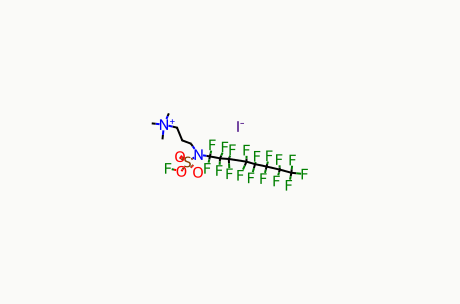 C[N+](C)(C)CCCN(C(F)(F)C(F)(F)C(F)(F)C(F)(F)C(F)(F)C(F)(F)C(F)(F)C(F)(F)F)S(=O)(=O)OF.[I-]